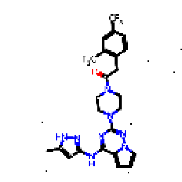 Cc1cc(Nc2nc(N3CCN(C(=O)Cc4ccc(C(F)(F)F)cc4C(F)(F)F)CC3)nn3cccc23)n[nH]1